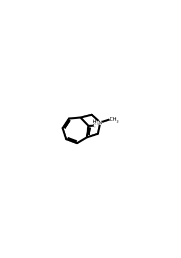 CC1=C2C=CC=CC1CN(C)C2